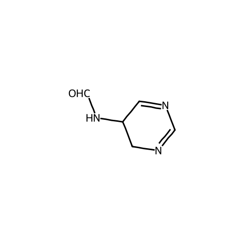 O=CNC1C=NC=NC1